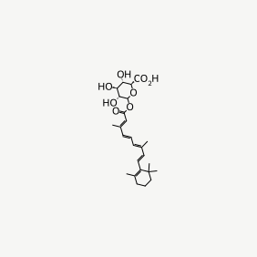 CC(C=CC1=C(C)CCCC1(C)C)=CC=CC(C)=CC(=O)OC1O[C@H](C(=O)O)[C@@H](O)[C@H](O)[C@H]1O